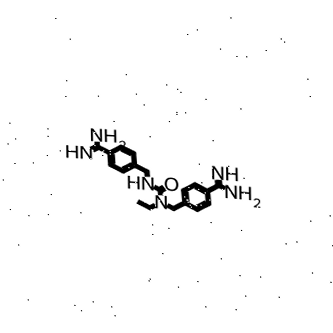 CCN(Cc1ccc(C(=N)N)cc1)C(=O)NCc1ccc(C(=N)N)cc1